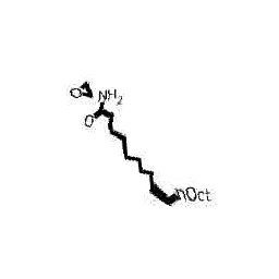 C1CO1.CCCCCCCC/C=C\CCCCCCCC(N)=O